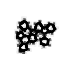 c1ccc(-n2c3ccccc3c3ccc4c(c5ccc6c7ccncc7c7nccn7c6c5n4-c4ccccc4)c32)cc1